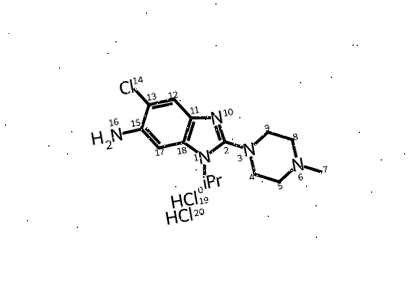 CC(C)n1c(N2CCN(C)CC2)nc2cc(Cl)c(N)cc21.Cl.Cl